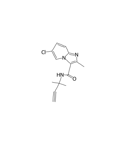 C#CC(C)(C)NC(=O)c1c(C)nc2ccc(Cl)cn12